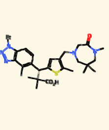 CCn1nnc2c(C)c([C@H](c3cc(CN4CC(=O)N(C)CC(C)(C)C4)c(C)s3)C(C)(C)C(=O)O)ccc21